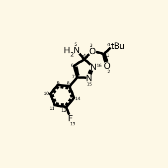 CC(C)(C)C(=O)OC1(N)C=C(c2cccc(F)c2)N=N1